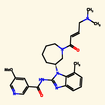 COc1cncc(C(=O)Nc2nc3cccc(C)c3n2[C@@H]2CCCCN(C(=O)/C=C/CN(C)C)C2)c1